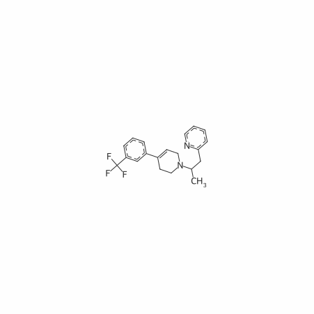 CC(Cc1ccccn1)N1CC=C(c2cccc(C(F)(F)F)c2)CC1